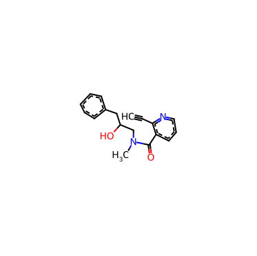 C#Cc1ncccc1C(=O)N(C)CC(O)Cc1ccccc1